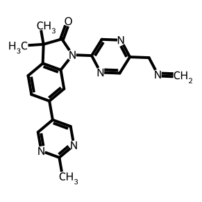 C=NCc1cnc(N2C(=O)C(C)(C)c3ccc(-c4cnc(C)nc4)cc32)cn1